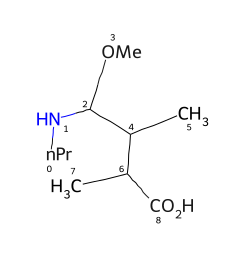 CCCNC(OC)C(C)C(C)C(=O)O